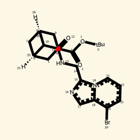 CC(C)(C)OC(=O)N1C[C@H]2C[C@@H](C1)C2C(=O)NCc1ncc2c(Br)cccn12